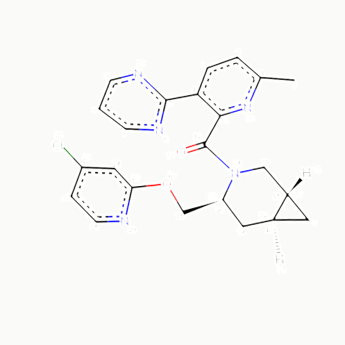 Cc1ccc(-c2ncccn2)c(C(=O)N2C[C@@H]3C[C@H]3C[C@H]2COc2cc(Cl)ccn2)n1